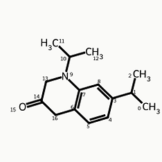 CC(C)c1ccc2c(c1)N(C(C)C)CC(=O)C2